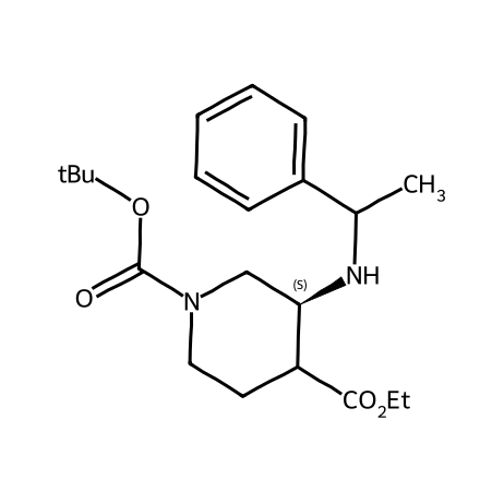 CCOC(=O)C1CCN(C(=O)OC(C)(C)C)C[C@H]1NC(C)c1ccccc1